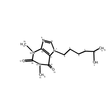 CC(O)CCCCn1cnc2c1c(=O)n(C)c(=O)n2C